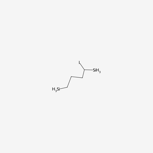 [SiH3]CCCC([SiH3])I